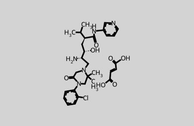 CC(C)[C@H](C[C@H](O)[C@@H](N)CN1CC(=O)N(c2ccccc2Cl)CC1(C)C)C(=O)Nc1cccnc1.O=C(O)/C=C/C(=O)O